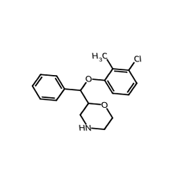 Cc1c(Cl)cccc1OC(c1ccccc1)C1CNCCO1